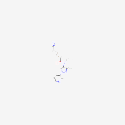 CCN(C(=O)CSCCC#N)c1cn(-c2cccnc2)nc1Cl